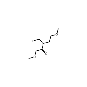 COCCN(CF)C(=O)COC